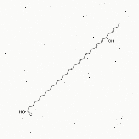 CCC=CCC(O)C=CC=CCC=CCC=CCC=CCCCCCCCCCCCCCCC(=O)O